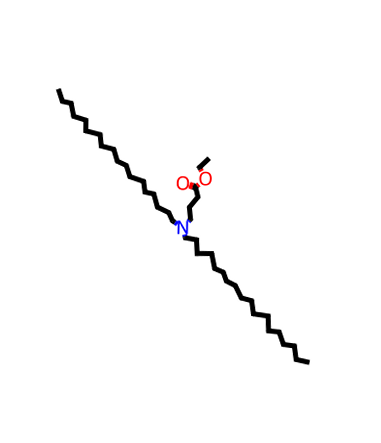 CCCCCCCCCCCCCCCCCCN(CCCCCCCCCCCCCCCCCC)CCCC(=O)OCC